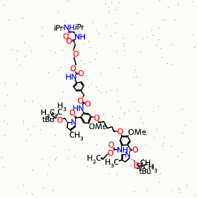 C=CCOC(=O)Nc1cc(OCCCCCOc2cc(NC(=O)OCc3ccc(NC(=O)OCCOCCC(=O)N[C@H](C(=O)NC(C)C)C(C)C)cc3)c(C(=O)N3C=C(C)C[C@H]3CO[Si](C)(C)C(C)(C)C)cc2OC)c(OC)cc1C(=O)N1C=C(C)C[C@H]1CO[Si](C)(C)C(C)(C)C